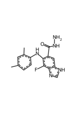 Cc1ccc(Nc2c(C(=O)NN)cc3[nH]cnc3c2F)c(C)c1